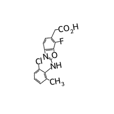 Cc1cccc(Cl)c1Nc1nc2ccc(CC(=O)O)c(F)c2o1